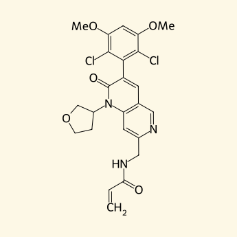 C=CC(=O)NCc1cc2c(cn1)cc(-c1c(Cl)c(OC)cc(OC)c1Cl)c(=O)n2C1CCOC1